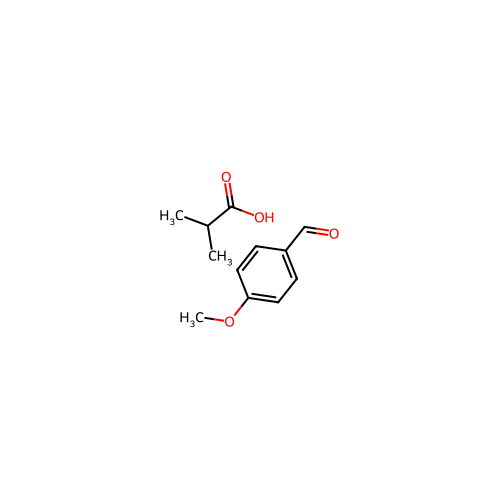 CC(C)C(=O)O.COc1ccc(C=O)cc1